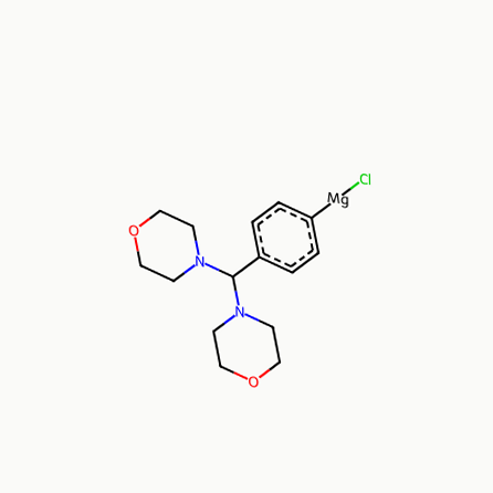 [Cl][Mg][c]1ccc(C(N2CCOCC2)N2CCOCC2)cc1